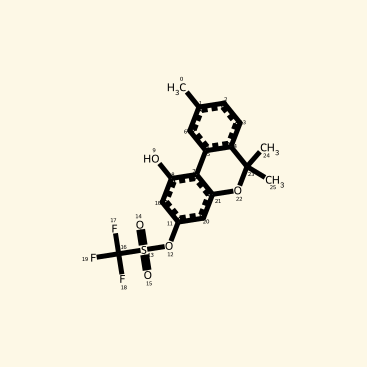 Cc1ccc2c(c1)-c1c(O)cc(OS(=O)(=O)C(F)(F)F)cc1OC2(C)C